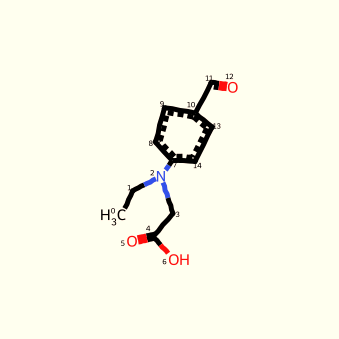 CCN(CC(=O)O)c1ccc(C=O)cc1